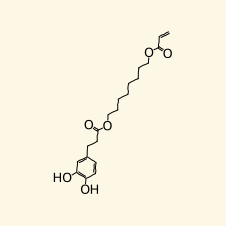 C=CC(=O)OCCCCCCCCOC(=O)CCc1ccc(O)c(O)c1